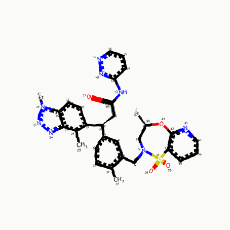 CC[C@@H]1CN(Cc2cc([C@H](CC(=O)Nc3cccnn3)c3ccc4c(nnn4CC)c3C)ccc2C)S(=O)(=O)c2cccnc2O1